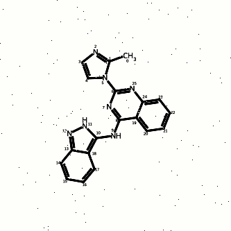 Cc1nccn1-c1nc(Nc2[nH]nc3ccccc23)c2ccccc2n1